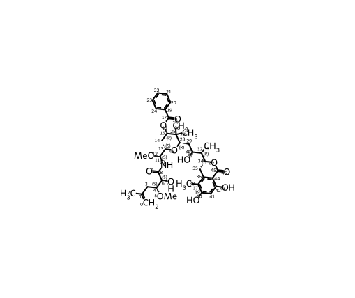 C=C(C)C[C@H](OC)[C@H](O)C(=O)N[C@@H](OC)[C@@H]1C[C@@H](OC(=O)c2ccccc2)C(C)(C)[C@@H](C[C@H](O)[C@@H](C)[C@H]2Cc3c(C)c(O)cc(O)c3C(=O)O2)O1